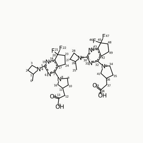 CC1CCN1c1nc(N2CCC(CC(=O)O)C2)c2c(n1)C(F)(F)CC2.CC1CCN1c1nc(N2CCC(CC(=O)O)C2)c2c(n1)C(F)(F)CC2